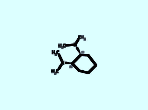 CN(C)[C@@H]1CCCC[C@@H]1N(C)C